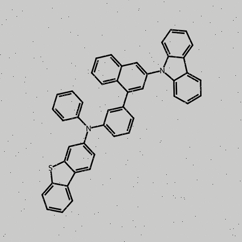 c1ccc(N(c2cccc(-c3cc(-n4c5ccccc5c5ccccc54)cc4ccccc34)c2)c2ccc3c(c2)sc2ccccc23)cc1